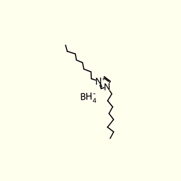 CCCCCCCCn1cc[n+](CCCCCCCC)c1.[BH4-]